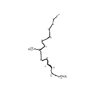 [CH2]C(CCCCCCF)CCCCCCCCCCCCC